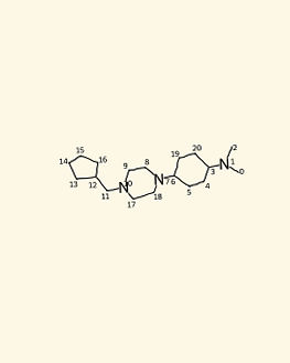 CN(C)C1CCC(N2CCN(CC3CCCC3)CC2)CC1